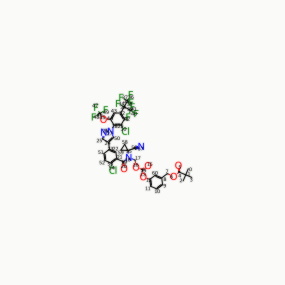 CC(C)(C)C(=O)OCc1cccc(OC(=O)OCN(C(=O)c2cc(-c3cnn(-c4c(Cl)cc(C(F)(C(F)(F)F)C(F)(F)F)cc4OC(F)(F)F)c3)ccc2Cl)C2(C#N)CC2)c1